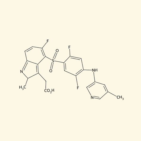 Cc1cncc(Nc2cc(F)c(S(=O)(=O)c3c(F)ccc4c3=C(CC(=O)O)C(C)N=4)cc2F)c1